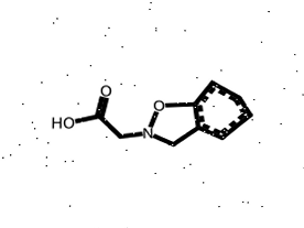 O=C(O)CN1Cc2ccccc2O1